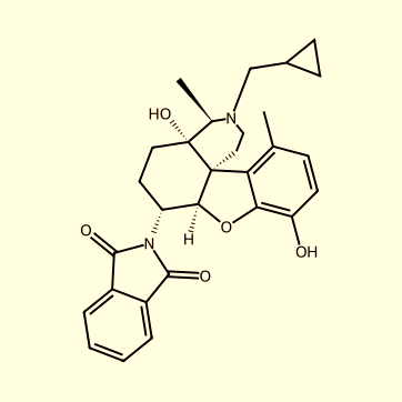 Cc1ccc(O)c2c1[C@]13CCN(CC4CC4)[C@H](C)[C@]1(O)CC[C@@H](N1C(=O)c4ccccc4C1=O)[C@@H]3O2